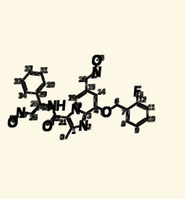 Cc1nc2c(OCc3ccccc3F)cc(CN=O)cn2c1C(=O)N[C@@H](CN=O)c1ccccc1